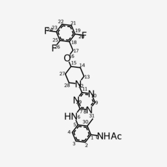 CC(=O)Nc1cccc(Nc2ncnc(N3CCC(OCc4c(F)ccc(F)c4F)CC3)n2)c1C